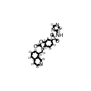 O=c1oc2cc(S(=O)(=O)Nc3ncns3)ccc2n1Cc1cccc2ccncc12